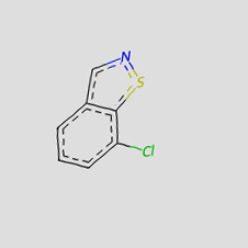 Clc1cccc2cnsc12